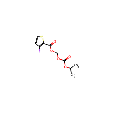 CC(C)OC(=O)OCOC(=O)c1sccc1I